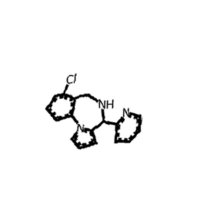 Clc1cccc2c1CNC(c1ccccn1)c1cccn1-2